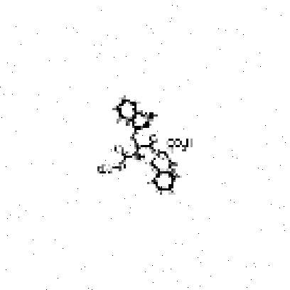 CC(C)(C)OC(=O)NC(Cc1c[nH]c2ccccc12)C(=O)N1Cc2ccccc2C[C@H]1C(=O)O